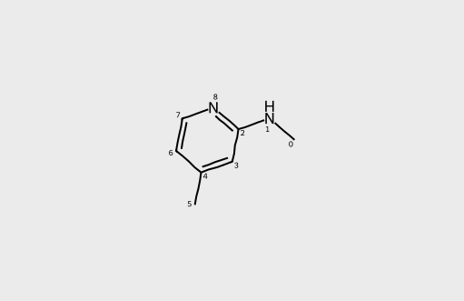 CNc1cc(C)ccn1